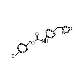 O=C(Nc1ccc(Cc2cocn2)cc1)OCc1ccc(Cl)cc1